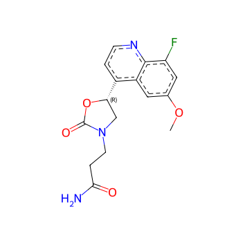 COc1cc(F)c2nccc([C@@H]3CN(CCC(N)=O)C(=O)O3)c2c1